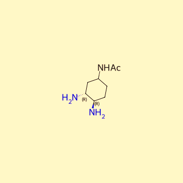 CC(=O)NC1CC[C@@H](N)[C@H](N)C1